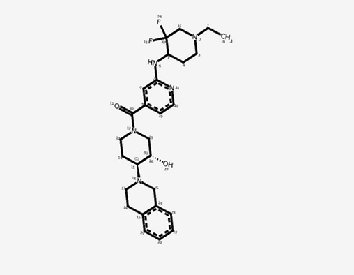 CCN1CCC(Nc2cc(C(=O)N3CC[C@H](N4CCc5ccccc5C4)[C@@H](O)C3)ccn2)C(F)(F)C1